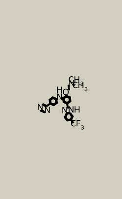 CN(C)CCOc1ccc(-c2nc3ccc(C(F)(F)F)cc3[nH]2)cc1Nc1ccc(-c2cnccn2)cc1